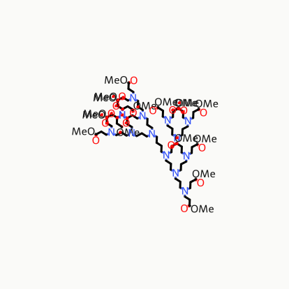 COC(=O)CCN(CCCN(CCCN(CCCCN(CCCN(CCCN(CCC(=O)OC)CCC(=O)OC)CCCN(CCC(=O)OC)CCC(=O)OC)CCCN(CCCN(CCC(=O)OC)CCC(=O)OC)CCCN(CCC(=O)OC)CCC(=O)OC)CCCN(CCCN(CCC(=O)OC)CCC(=O)OC)CCCN(CCC(=O)OC)CCC(=O)OC)CCCN(CCC(=O)OC)CCC(=O)OC)CCC(=O)OC